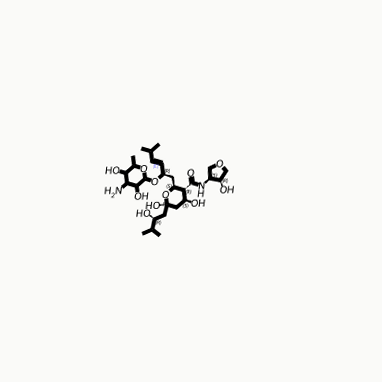 CC(C)/C=C/[C@@H](C[C@@H]1O[C@](O)(C[C@@H](O)C(C)C)C[C@H](O)[C@H]1C(=O)N[C@H]1COC[C@@H]1O)OC1OC(C)C(O)C(N)C1O